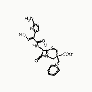 Nc1nc(C(=NO)C(=O)NC2C(=O)N3CC(C[n+]4ccccc4)(C(=O)[O-])CS[C@H]23)cs1